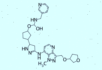 Cn1nc(COC2CCOC2)c2nccc(NC3=NNC(C4CCC(OC(O)NCc5cccnc5)C4)C3)c21